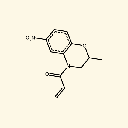 C=CC(=O)N1CC(C)Oc2ccc([N+](=O)[O-])cc21